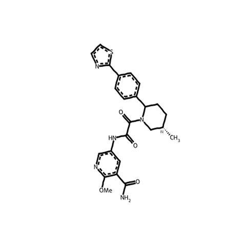 COc1ncc(NC(=O)C(=O)N2C[C@@H](C)CCC2c2ccc(-c3nccs3)cc2)cc1C(N)=O